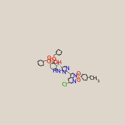 Cc1ccc(S(=O)(=O)n2cc(-c3ncc(F)c(N[C@H]4CCC[C@](O)(P(=O)(OCc5ccccc5)OCc5ccccc5)C4)n3)c3cc(Cl)cnc32)cc1